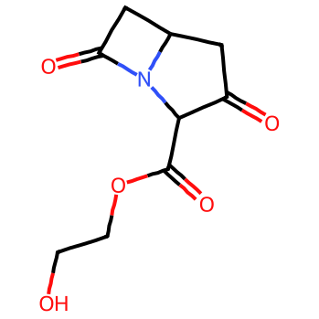 O=C1CC2CC(=O)N2C1C(=O)OCCO